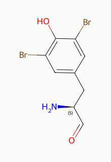 N[C@H](C=O)Cc1cc(Br)c(O)c(Br)c1